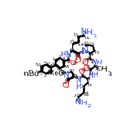 CCCCc1ccc(-c2ccc(C(=O)N[C@@H](CCCCN)C(=O)N3CCC[C@H]3C(=O)N[C@@H](C)C(=O)N[C@@H](CCCCN)C(=O)N[C@@H]3CN(OC)C3=O)cc2)cc1